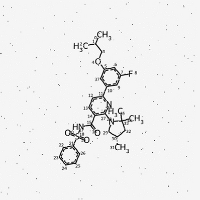 CC(C)COc1cc(F)cc(-c2ccc(C(=O)NS(=O)(=O)c3ccccc3)c(N3C[C@@H](C)CC3(C)C)n2)c1